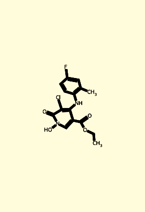 CCOC(=O)c1cn(O)c(=O)c(Cl)c1Nc1ccc(F)cc1C